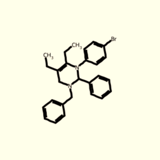 CCC1=C(CC)N(c2ccc(Br)cc2)C(c2ccccc2)N(Cc2ccccc2)C1